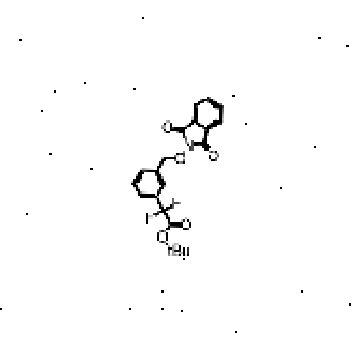 CC(C)(C)OC(=O)C(F)(F)c1cccc(CON2C(=O)c3ccccc3C2=O)c1